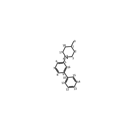 CC1CCN(c2cccc(-c3cc[c]cc3)c2)CC1